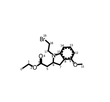 CCOC(=O)CC1Cc2c(OC)cccc2N1CCBr